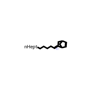 CCCCCCCCCCC/C=C1\CC2C=CC1C2